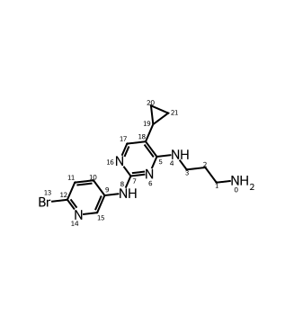 NCCCNc1nc(Nc2ccc(Br)nc2)ncc1C1CC1